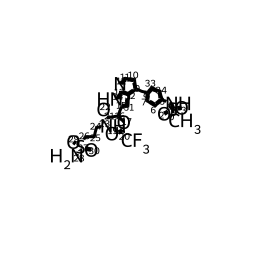 CS(=O)(=O)Nc1ccc(-c2ccnc3[nH]c(C(OC(=O)C(F)(F)F)C(=O)NCCCS(N)(=O)=O)cc23)cc1